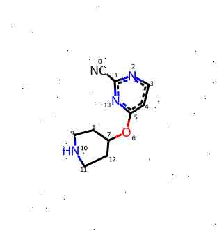 N#Cc1nccc(OC2CCNCC2)n1